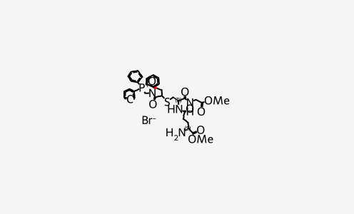 COC(=O)CNC(=O)[C@H](CSC1CC(=O)N(C[P+](c2ccccc2)(c2ccccc2)c2ccccc2)C1=O)NC(=O)CC[C@H](N)C(=O)OC.[Br-]